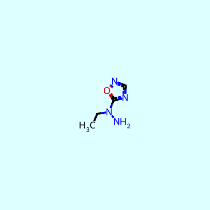 CCN(N)c1ncno1